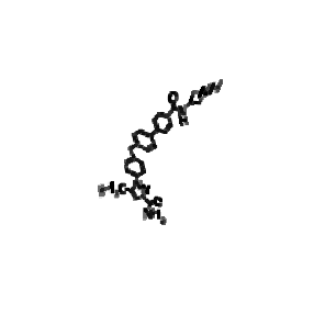 Cc1cc(C(N)=O)nn1-c1ccc(Cc2ccc(-c3ccc(C(=O)NC4CNC4)cc3)cc2)cc1